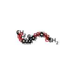 C=CC(=O)OCOC1CCC(Cc2ccc3c(c2)C(C)c2cc(OCOC4CCC(OCOC(=O)C=C)CC4)ccc2-3)CC1